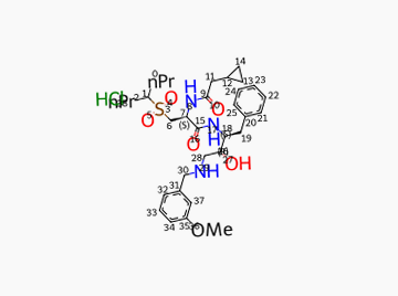 CCCC(CCC)S(=O)(=O)C[C@@H](NC(=O)CC1CC1)C(=O)N[C@@H](Cc1ccccc1)[C@H](O)CNCc1cccc(OC)c1.Cl